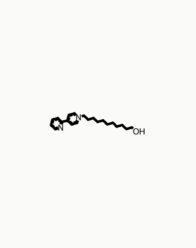 OCCCCCCCCCCC[n+]1ccc(-c2ccccn2)cc1